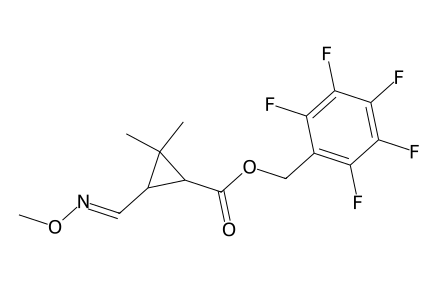 CON=CC1C(C(=O)OCc2c(F)c(F)c(F)c(F)c2F)C1(C)C